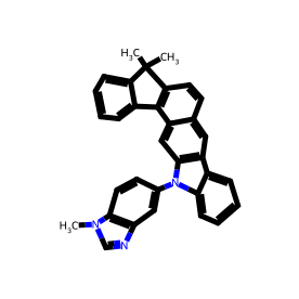 Cn1cnc2cc(-n3c4ccccc4c4cc5ccc6c(c5cc43)-c3ccccc3C6(C)C)ccc21